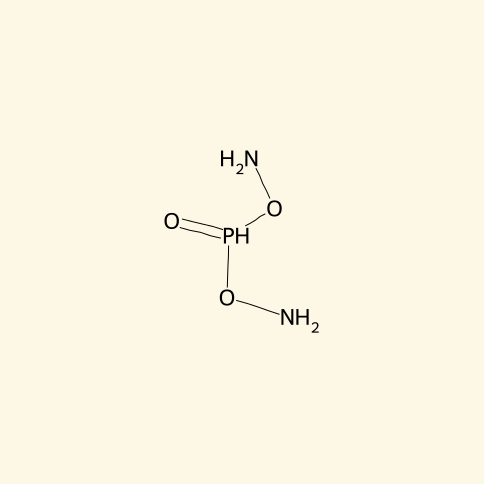 NO[PH](=O)ON